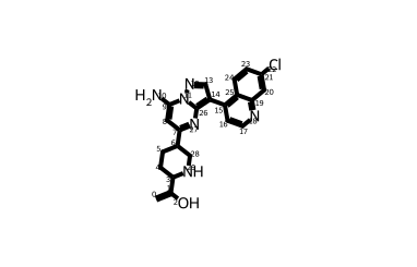 C=C(O)C1CCC(c2cc(N)n3ncc(-c4ccnc5cc(Cl)ccc45)c3n2)CN1